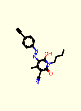 C#Cc1ccc(/N=N/c2c(C)c(C#N)c(=O)n(CCCC)c2O)cc1